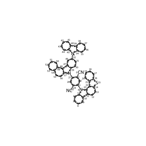 N#Cc1cc(-n2c3ccccc3c3ccc4sc5ccccc5c4c32)c(C#N)cc1-n1c2ccc(-n3c4ccccc4c4ccccc43)cc2c2c3ccccc3ccc21